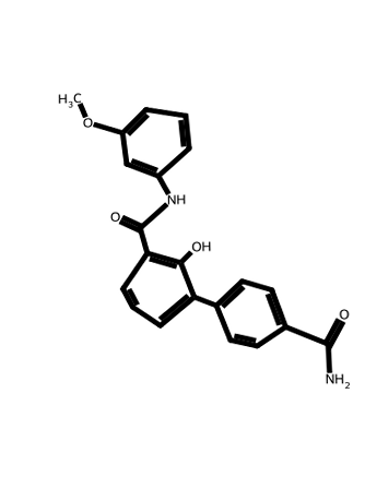 COc1cccc(NC(=O)c2cccc(-c3ccc(C(N)=O)cc3)c2O)c1